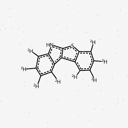 [2H]c1c([2H])c([2H])c2c([nH]c3sc4c([2H])c([2H])c([2H])c([2H])c4c32)c1[2H]